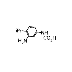 CC(C)c1ccc(NC(=O)O)cc1N